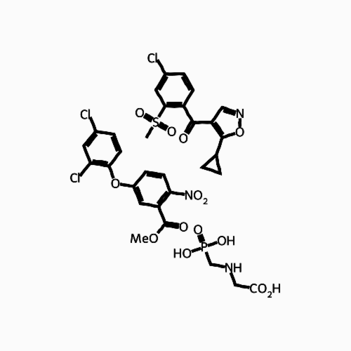 COC(=O)c1cc(Oc2ccc(Cl)cc2Cl)ccc1[N+](=O)[O-].CS(=O)(=O)c1cc(Cl)ccc1C(=O)c1cnoc1C1CC1.O=C(O)CNCP(=O)(O)O